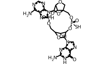 Nc1nc2c(ncn2C2OC3CO[PH](=O)OC4C5OCC4(CO[P@@](=O)(S)OC2C3O)OC5n2cnc3c(N)ncnc32)c(=O)[nH]1